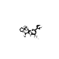 CC1(C)CCCN1C(=O)c1nc2c(C(F)(F)F)cc(-c3ccoc3)cn2c1Cl